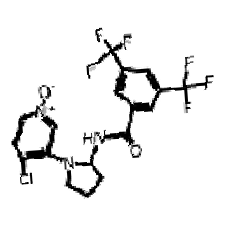 O=C(NC1CCCN1c1c[n+]([O-])ccc1Cl)c1cc(C(F)(F)F)cc(C(F)(F)F)c1